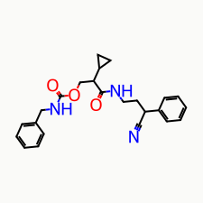 N#CC(CCNC(=O)C(COC(=O)NCc1ccccc1)C1CC1)c1ccccc1